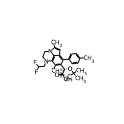 Cc1ccc(-c2c([C@H](OC(C)(C)C)C(=O)O)c(C)c3c4c2cc(C)n4CCN3CC(F)F)cc1